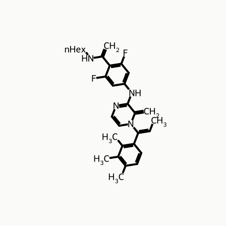 C=C(NCCCCCC)c1c(F)cc(NC2=NC=CN(/C(=C\C)c3ccc(C)c(C)c3C)C2=C)cc1F